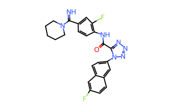 N=C(c1ccc(NC(=O)c2nnnn2-c2ccc3cc(F)ccc3c2)c(F)c1)N1CCCCC1